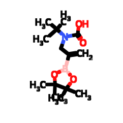 C=C(CN(C(=O)O)C(C)(C)C)B1OC(C)(C)C(C)(C)O1